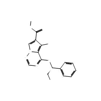 COC(=O)c1cn2ncnc(N[C@H](CO)c3ccccc3)c2c1C